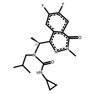 CC(C)CN(C(=O)NC1CC1)[C@@H](C)c1nn(C)c(=O)c2cc(F)c(F)cc12